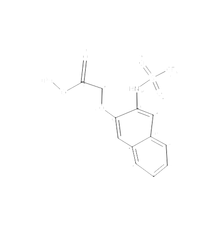 CC(C)(C)OC(=O)COc1cc2ccccc2cc1NS(=O)(=O)C(F)(F)F